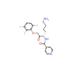 NCCCC[C@H](NC(=O)c1ccncc1)C(=O)COc1c(F)ccc(F)c1F